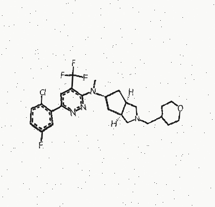 CN(c1nnc(-c2cc(F)ccc2Cl)cc1C(F)(F)F)[C@@H]1C[C@@H]2CN(CC3CCOCC3)C[C@@H]2C1